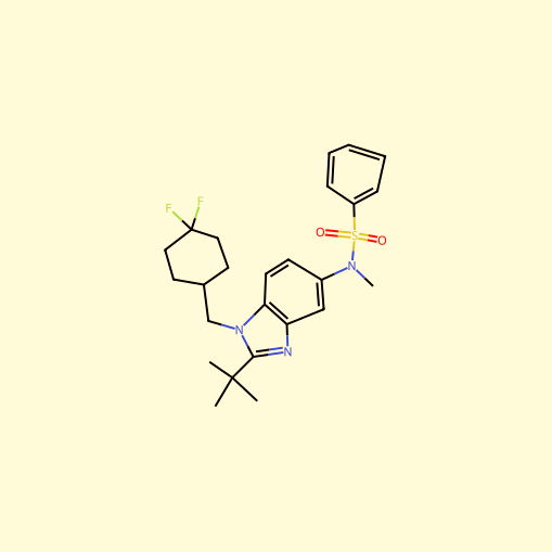 CN(c1ccc2c(c1)nc(C(C)(C)C)n2CC1CCC(F)(F)CC1)S(=O)(=O)c1ccccc1